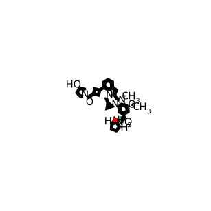 COc1cc(C(=O)N2C[C@H]3CC[C@@H]2[C@@H]3N)cc2nc(-c3cc4cccc(C5CC(C(=O)N6CC[C@@H](O)C6)C5)c4n3CC3CC3)n(C)c12